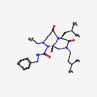 CCN1CC(=O)N2[C@@H](CC(C)C)C(=O)N(CCC(C)C)C[C@@H]2N1C(=O)NCc1ccccc1